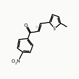 Cc1ccc(/C=C/C(=O)c2ccc([N+](=O)[O-])cc2)s1